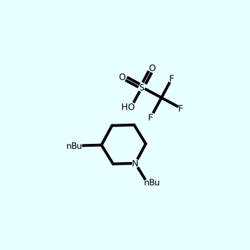 CCCCC1CCCN(CCCC)C1.O=S(=O)(O)C(F)(F)F